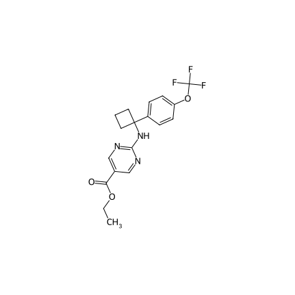 CCOC(=O)c1cnc(NC2(c3ccc(OC(F)(F)F)cc3)CCC2)nc1